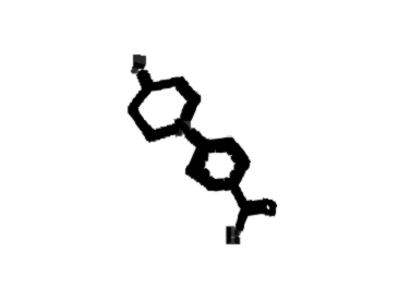 CCC(=O)c1ccc(N2CCC(F)CC2)cc1